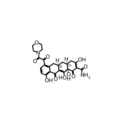 NC(=O)C1=C(O)C[C@@H]2C[C@@H]3Cc4c(C(=O)C(=O)N5CCOCC5)ccc(O)c4C(=O)C3=C(O)[C@]2(O)C1=O